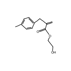 C=C(Cc1ccc(C)cc1)C(=O)OCCO